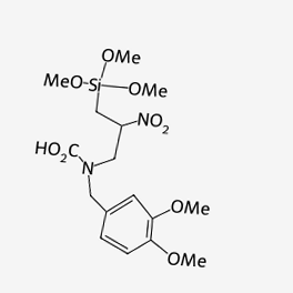 COc1ccc(CN(CC(C[Si](OC)(OC)OC)[N+](=O)[O-])C(=O)O)cc1OC